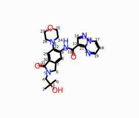 CC(C)(O)CN1Cc2cc(NC(=O)c3cnn4cccnc34)c(N3CCOCC3)cc2C1=O